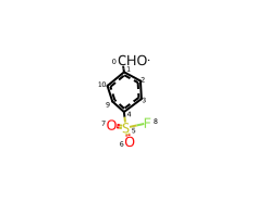 O=[C]c1ccc(S(=O)(=O)F)cc1